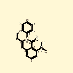 CCc1cc2cccc(N(C)C)c2c(=O)n1-c1ccccc1